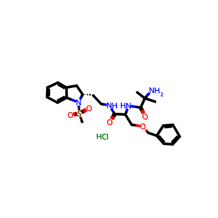 CC(C)(N)C(=O)NC(COCc1ccccc1)C(=O)NCC[C@H]1Cc2ccccc2N1S(C)(=O)=O.Cl